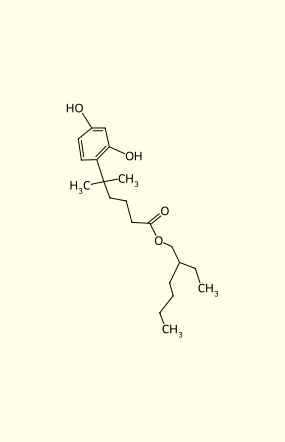 CCCCC(CC)COC(=O)CCCC(C)(C)c1ccc(O)cc1O